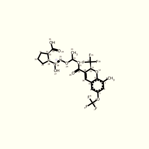 Cc1cc(OC(F)(F)F)cc2c1O[C@H](C(F)(F)F)C(C(=O)OC(C)O/N=[N+](\O)N1CCC[C@H]1C(=O)O)=C2